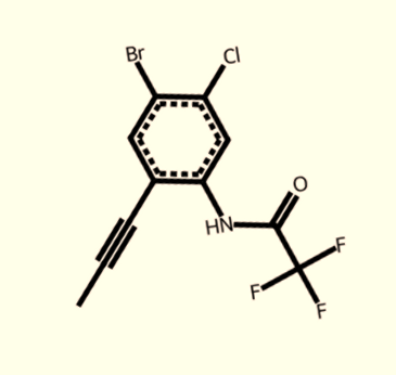 CC#Cc1cc(Br)c(Cl)cc1NC(=O)C(F)(F)F